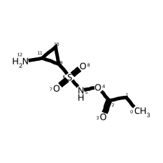 CCC(=O)ONS(=O)(=O)C1CC1N